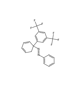 FC(F)(F)c1cc(C(F)(F)F)cc(C2(N=Nc3ccccc3)C=CC=CC2)c1